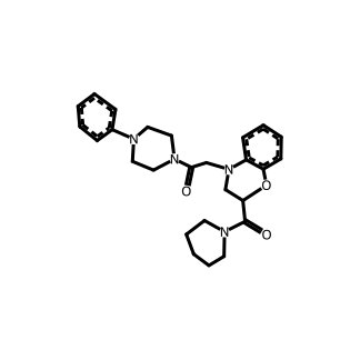 O=C(CN1CC(C(=O)N2CCCCC2)Oc2ccccc21)N1CCN(c2ccccc2)CC1